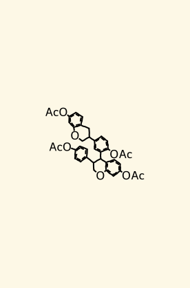 CC(=O)Oc1ccc(C2COc3cc(OC(C)=O)ccc3C2c2cc(C3COc4cc(OC(C)=O)ccc4C3)ccc2OC(C)=O)cc1